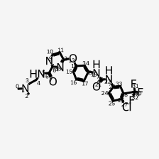 CN(C)CCNC(=O)c1nccc(Oc2cccc(NC(=O)Nc3ccc(Cl)c(C(F)(F)F)c3)c2)n1